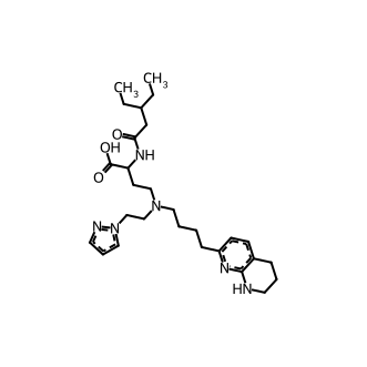 CCC(CC)CC(=O)NC(CCN(CCCCc1ccc2c(n1)NCCC2)CCn1cccn1)C(=O)O